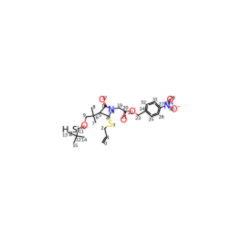 C=CCSC1C(C(C)(C)CO[SiH2]C(C)(C)C)C(=O)N1CC(=O)OCc1ccc([N+](=O)[O-])cc1